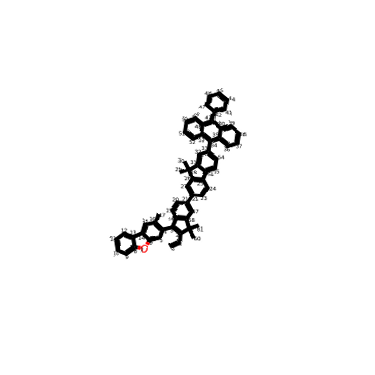 C=CC1=C(c2cc3oc4ccccc4c3cc2C)c2ccc(-c3ccc4c(c3)C(C)(C)c3cc(-c5c6ccccc6c(-c6ccccc6)c6ccccc56)ccc3-4)cc2C1(C)C